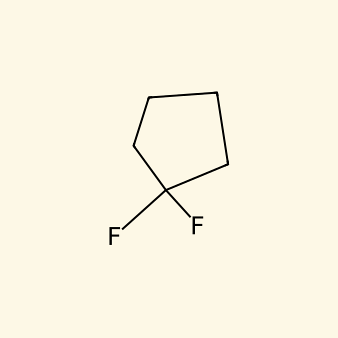 FC1(F)CCCC1